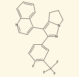 Fc1ccc(-c2nn3c(c2-c2ccnc4ccccc24)CCC3)cc1C(F)(F)F